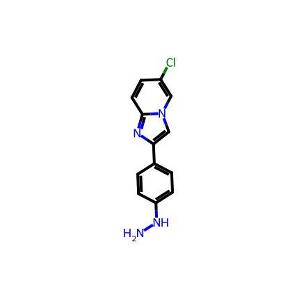 NNc1ccc(-c2cn3cc(Cl)ccc3n2)cc1